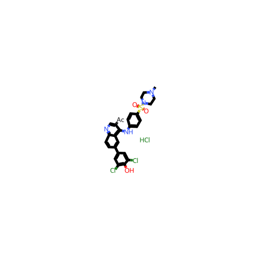 CC(=O)c1cnc2ccc(-c3cc(Cl)c(O)c(Cl)c3)cc2c1Nc1ccc(S(=O)(=O)N2CCN(C)CC2)cc1.Cl